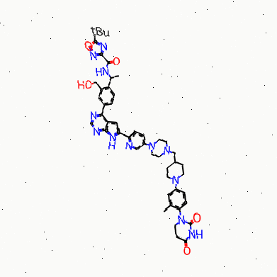 Cc1cc(N2CCC(CN3CCN(c4ccc(-c5cc6c(-c7ccc(C(C)NC(=O)c8noc(C(C)(C)C)n8)c(CO)c7)ncnc6[nH]5)nc4)CC3)CC2)ccc1N1CCC(=O)NC1=O